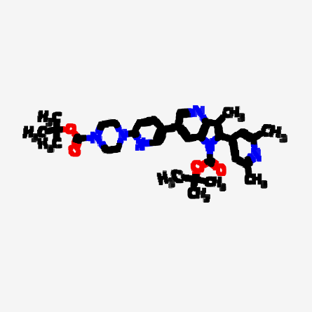 Cc1cc(-c2c(C)c3ncc(-c4ccc(N5CCN(C(=O)OC(C)(C)C)CC5)nc4)cc3n2C(=O)OC(C)(C)C)cc(C)n1